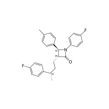 Cc1ccc([C@@H]2[C@@H](CC[C@H](C)c3ccc(F)cc3)C(=O)N2c2ccc(F)cc2)cc1